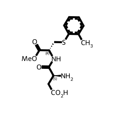 COC(=O)[C@H](CSc1ccccc1C)NC(=O)[C@@H](N)CC(=O)O